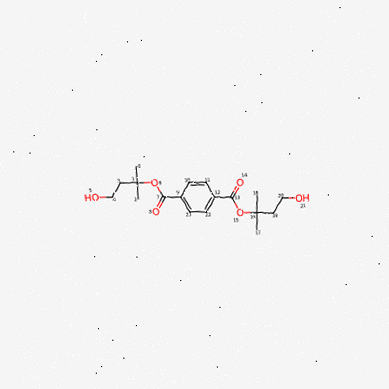 CC(C)(CCO)OC(=O)c1ccc(C(=O)OC(C)(C)CCO)cc1